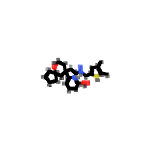 Cc1cc(CNCCC2(c3cccc(O)n3)CCOC3(CCCC3)C2)sc1C